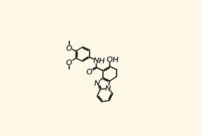 COc1ccc(NC(=O)C2=C(O)CCc3c2nc2ccccn32)cc1OC